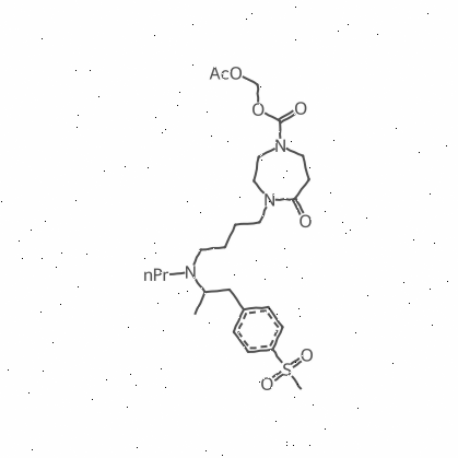 CCCN(CCCCN1CCN(C(=O)OCOC(C)=O)CCC1=O)C(C)Cc1ccc(S(C)(=O)=O)cc1